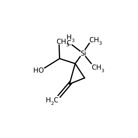 C=C1CC1(C(C)O)[Si](C)(C)C